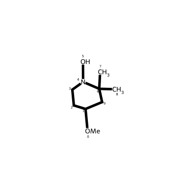 COC1CCN(O)C(C)(C)C1